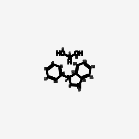 OBO.c1ccc(-n2cnc3ccccc32)cc1